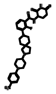 O=C1CCC(NC(=O)c2cccc(N3CCC4(CC3)CCN(C3CCN(c5ccc([N+](=O)[O-])cc5)CC3)C4)c2F)C(=O)N1